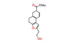 COC(=O)C1C=CC2=C(CCc3oc(CCO)cc32)C1